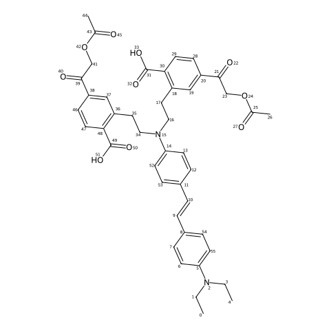 CCN(CC)c1ccc(/C=C/c2ccc(N(CCc3cc(C(=O)COC(C)=O)ccc3C(=O)O)CCc3cc(C(=O)COC(C)=O)ccc3C(=O)O)cc2)cc1